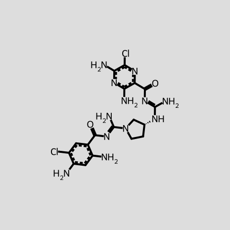 N/C(=N\C(=O)c1nc(Cl)c(N)nc1N)N[C@@H]1CCN(/C(N)=N/C(=O)c2cc(Cl)c(N)cc2N)C1